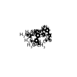 CCOC(=O)c1ccc(-c2ccc3ncnc(N(C)c4cccs4)c3c2)o1.COc1cc(-c2ccc3ncnc(N(C)Cc4csc(C)n4)c3c2)cc(OC)c1OC